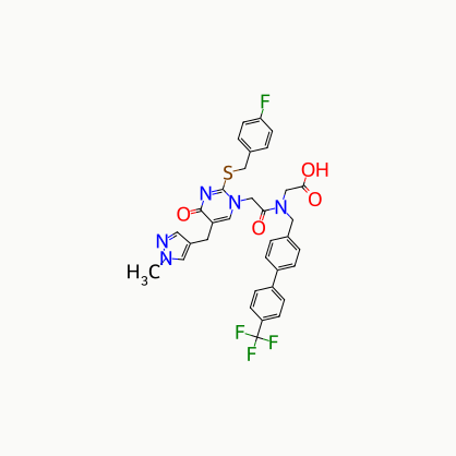 Cn1cc(Cc2cn(CC(=O)N(CC(=O)O)Cc3ccc(-c4ccc(C(F)(F)F)cc4)cc3)c(SCc3ccc(F)cc3)nc2=O)cn1